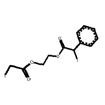 O=C(CI)OCCOC(=O)C(I)c1ccccc1